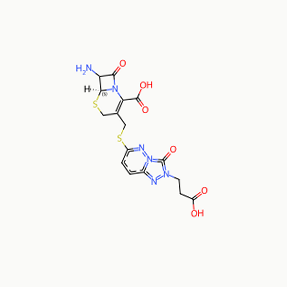 NC1C(=O)N2C(C(=O)O)=C(CSc3ccc4nn(CCC(=O)O)c(=O)n4n3)CS[C@@H]12